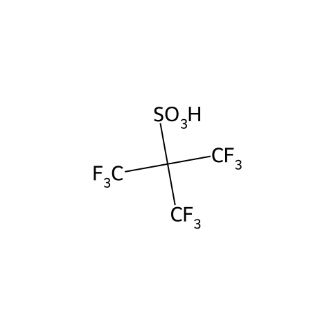 O=S(=O)(O)C(C(F)(F)F)(C(F)(F)F)C(F)(F)F